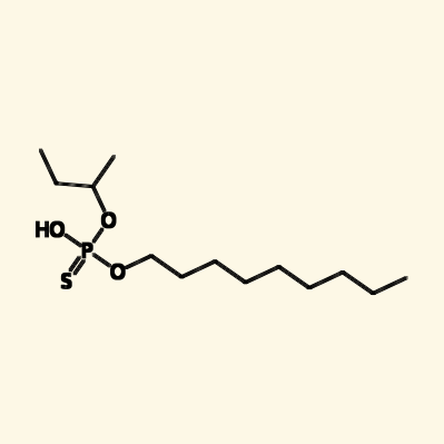 CCCCCCCCCOP(O)(=S)OC(C)CC